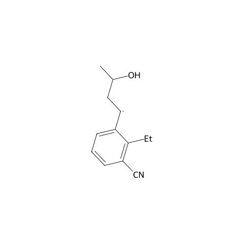 CCc1c(C#N)cccc1[CH]CC(C)O